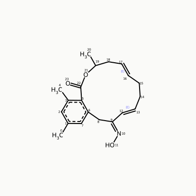 Cc1cc(C)c2c(c1)CC(=NO)/C=C/CC/C=C/CC(C)OC2=O